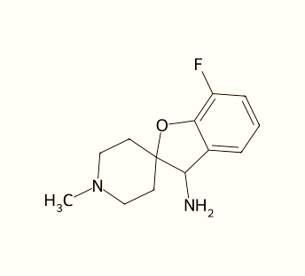 CN1CCC2(CC1)Oc1c(F)cccc1C2N